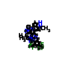 CNC1(C2CCCC2)CC1c1nc2c(cc1CN(Cc1cc(C(F)(F)F)cc(C(F)(F)F)c1)c1nnn(C)n1)c(C)nn2C